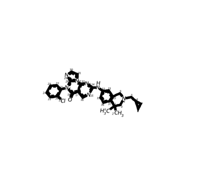 CC1(C)CN(CC2CC2)Cc2cc(Nc3ncc4c(=O)n(-c5ccccc5Cl)c5nccn5c4n3)ccc21